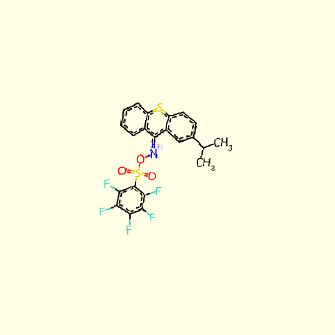 CC(C)c1ccc2sc3ccccc3/c(=N\OS(=O)(=O)c3c(F)c(F)c(F)c(F)c3F)c2c1